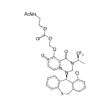 CC(=O)NCCOC(=O)OCOc1c2n(ccc1=O)N([C@@H]1c3ccccc3SCc3cccc(Cl)c31)CN([C@H](C)C(F)(F)F)C2=O